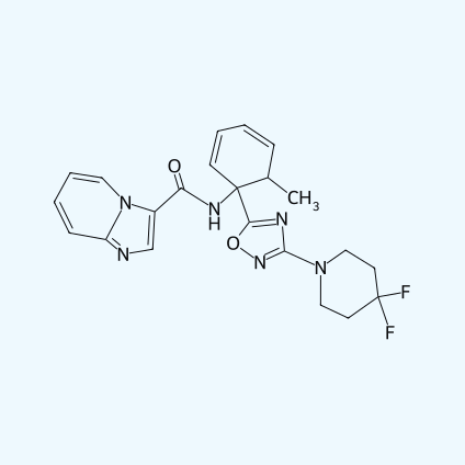 CC1C=CC=CC1(NC(=O)c1cnc2ccccn12)c1nc(N2CCC(F)(F)CC2)no1